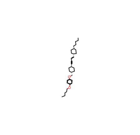 CCCCCOc1ccc(OC[C@H]2CC[C@H](C#C/C=C/[C@H]3CC[C@H](CCCCC)CC3)CC2)cc1